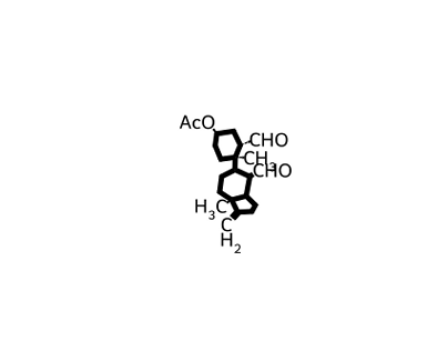 C=C1CCC2C(C=O)C([C@@]3(C)CC[C@H](OC(C)=O)C[C@@H]3C=O)CC[C@]12C